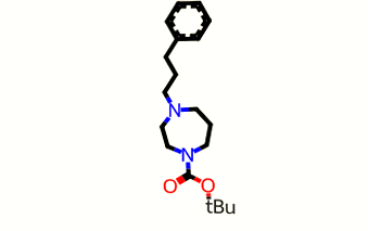 CC(C)(C)OC(=O)N1CCCN(CCCc2ccccc2)CC1